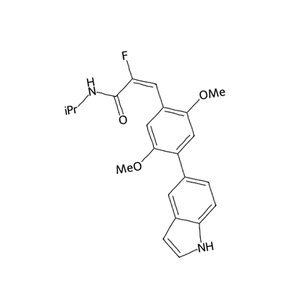 COc1cc(-c2ccc3[nH]ccc3c2)c(OC)cc1/C=C(/F)C(=O)NC(C)C